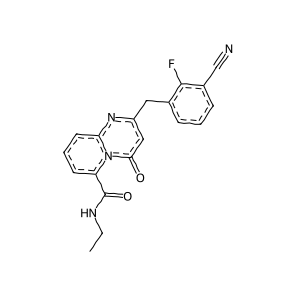 CCNC(=O)c1cccc2nc(Cc3cccc(C#N)c3F)cc(=O)n12